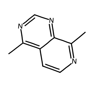 Cc1ncnc2c(C)nccc12